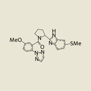 COc1ccc(-n2nccn2)c(C(=O)N2CCCC2c2nc3ccc(SC)cc3[nH]2)c1